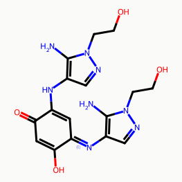 Nc1c(/N=C2\C=C(Nc3cnn(CCO)c3N)C(=O)C=C2O)cnn1CCO